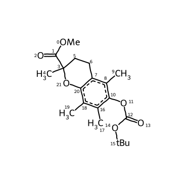 COC(=O)C1(C)CCc2c(C)c(OC(=O)OC(C)(C)C)c(C)c(C)c2O1